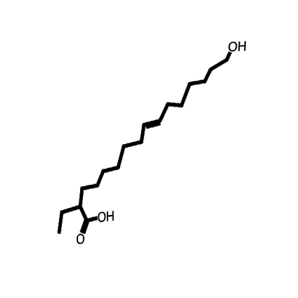 CCC(CCCCCCC=CCCCCCCO)C(=O)O